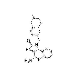 CN1CCc2cc(Cn3c(=O)[nH]c4c(N)nc5ccccc5c43)ccc2C1